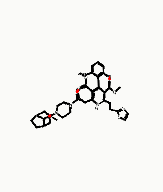 COC(=O)C1=C(CCc2nccs2)NC(CC(=O)N2CCN(C3CC4CCC(C3)C4OC)CC2)=C(C(=O)OC)C1c1c(Cl)cccc1Cl